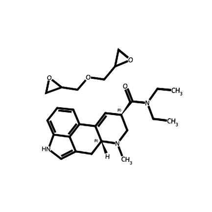 C(OCC1CO1)C1CO1.CCN(CC)C(=O)[C@@H]1C=C2c3cccc4[nH]cc(c34)C[C@H]2N(C)C1